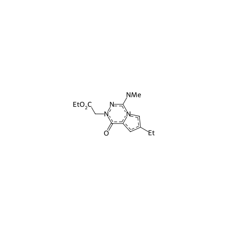 CCOC(=O)Cn1nc(NC)n2cc(CC)cc2c1=O